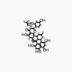 CC(C)=CCc1c(-c2ccc(O)cc2O)oc2c([C@H]3C=C(C)CC(c4ccc(O)cc4O)[C@@H]3C(=O)c3ccc(O)cc3O)c(O)cc(O)c2c1=O